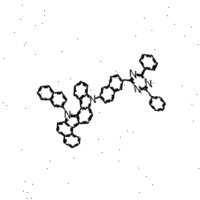 c1ccc(-c2nc(-c3ccccc3)nc(-c3ccc4cc(-n5c6ccccc6c6c5ccc5c7c8ccccc8ccc7n(-c7ccc8ccccc8c7)c56)ccc4c3)n2)cc1